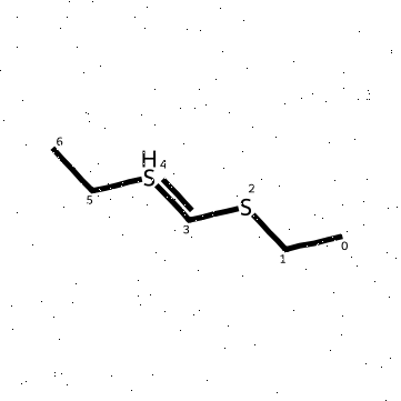 CCSC=[SH]CC